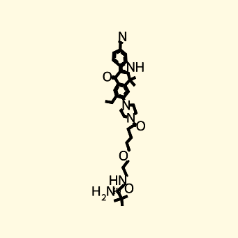 CCc1cc2c(cc1N1CCN(C(=O)CCCCOCCCNC(=O)[C@@H](N)C(C)(C)C)CC1)C(C)(C)c1[nH]c3cc(C#N)ccc3c1C2=O